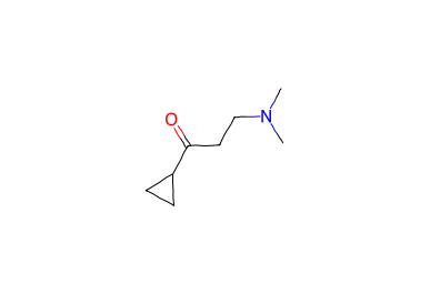 CN(C)CCC(=O)C1CC1